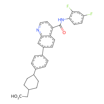 O=C(O)CC1CCC(c2ccc(-c3ccc4c(C(=O)Nc5ccc(F)cc5F)ccnc4c3)cc2)CC1